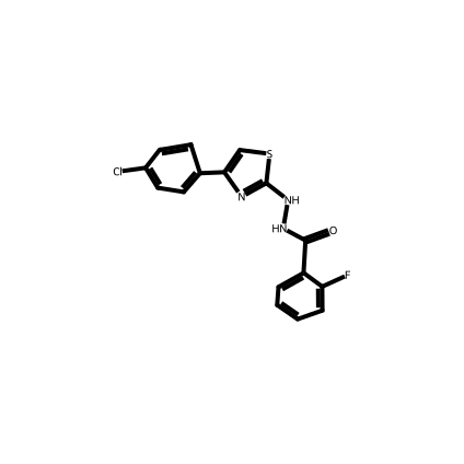 O=C(NNc1nc(-c2ccc(Cl)cc2)cs1)c1ccccc1F